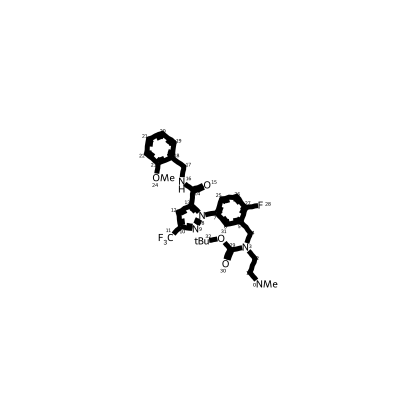 CNCCN(Cc1cc(-n2nc(C(F)(F)F)cc2C(=O)NCc2ccccc2OC)ccc1F)C(=O)OC(C)(C)C